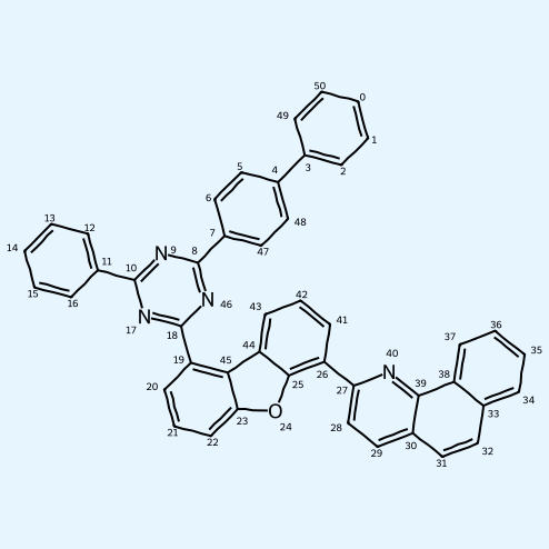 c1ccc(-c2ccc(-c3nc(-c4ccccc4)nc(-c4cccc5oc6c(-c7ccc8ccc9ccccc9c8n7)cccc6c45)n3)cc2)cc1